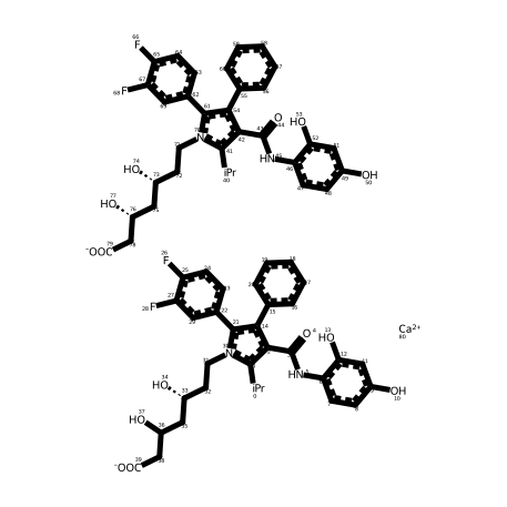 CC(C)c1c(C(=O)Nc2ccc(O)cc2O)c(-c2ccccc2)c(-c2ccc(F)c(F)c2)n1CC[C@@H](O)CC(O)CC(=O)[O-].CC(C)c1c(C(=O)Nc2ccc(O)cc2O)c(-c2ccccc2)c(-c2ccc(F)c(F)c2)n1CC[C@@H](O)C[C@@H](O)CC(=O)[O-].[Ca+2]